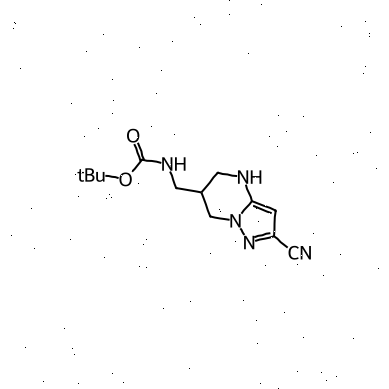 CC(C)(C)OC(=O)NCC1CNc2cc(C#N)nn2C1